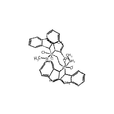 C[SiH2][Zr]([Cl])([Cl])([CH2][CH2][Zr]([Cl])([Cl])([SiH2]C)([CH]1C(C)=Cc2ccccc21)[CH]1C(C)=Cc2ccccc21)([CH]1C(C)=Cc2ccccc21)[CH]1C(C)=Cc2ccccc21